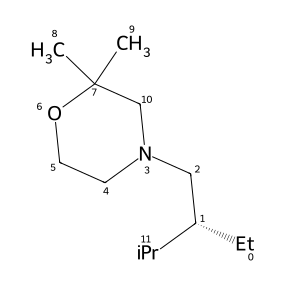 CC[C@@H](CN1CCOC(C)(C)C1)C(C)C